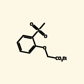 CCOC(=O)COc1ccccc1S(C)(=O)=O